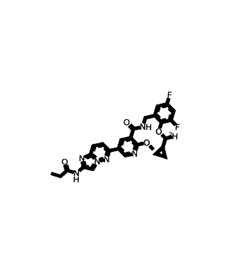 [2H]C(Oc1c(F)cc(F)cc1CNC(=O)c1cc(-c2ccc3nc(NC(=O)CC)cn3n2)cnc1OC)C1CC1